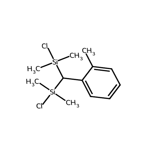 Cc1ccccc1C([Si](C)(C)Cl)[Si](C)(C)Cl